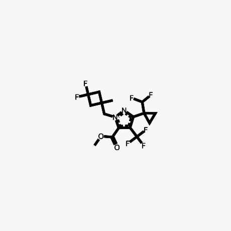 COC(=O)c1c(C(F)(F)F)c(C2(C(F)F)CC2)nn1CC1(C)CC(F)(F)C1